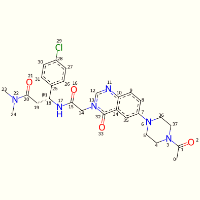 CC(=O)N1CCN(c2ccc3ncn(CC(=O)N[C@H](CC(=O)N(C)C)c4ccc(Cl)cc4)c(=O)c3c2)CC1